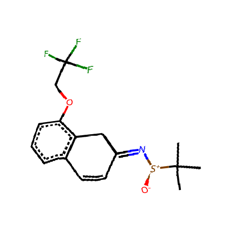 CC(C)(C)[S@@+]([O-])N=C1C=Cc2cccc(OCC(F)(F)F)c2C1